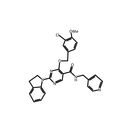 COc1ccc(COc2nc(N3CCc4ccccc43)ncc2C(=O)NCc2ccncc2)cc1Cl